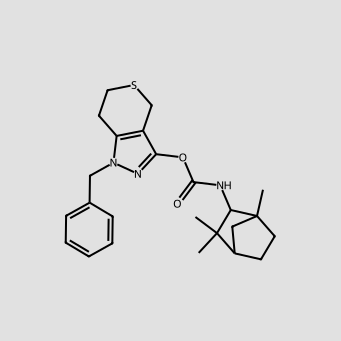 CC12CCC(C1)C(C)(C)C2NC(=O)Oc1nn(Cc2ccccc2)c2c1CSCC2